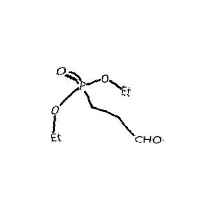 CCOP(=O)(CC[C]=O)OCC